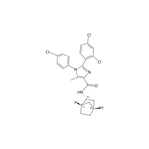 Cc1c(C(=O)N[C@@H]2C[C@@H]3CC[C@H]2C3)nc(-c2ccc(Cl)cc2Cl)n1-c1ccc(Cl)cc1